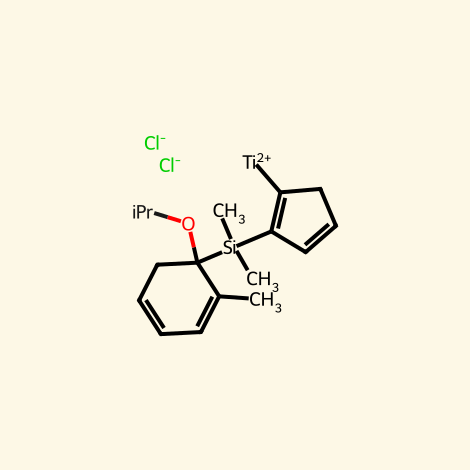 CC1=CC=CCC1(OC(C)C)[Si](C)(C)C1=[C]([Ti+2])CC=C1.[Cl-].[Cl-]